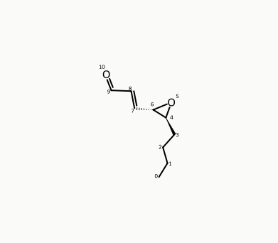 CCCC[C@@H]1O[C@H]1C=CC=O